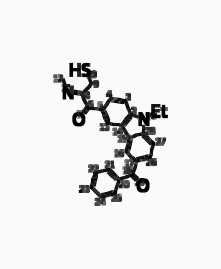 CCn1c2ccc(C(=O)/C(CS)=N/C)cc2c2cc(C(=O)c3ccccc3)ccc21